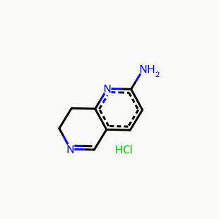 Cl.Nc1ccc2c(n1)CCN=C2